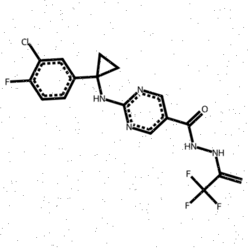 C=C(NNC(=O)c1cnc(NC2(c3ccc(F)c(Cl)c3)CC2)nc1)C(F)(F)F